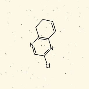 Clc1cnc2c(n1)C=CCC2